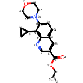 CCOC(=O)c1cnc2c(C3CC3)c(N3CCOCC3)ccc2c1